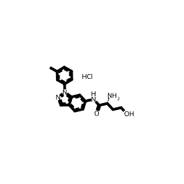 Cc1cccc(-n2ncc3ccc(NC(=O)[C@H](N)CCO)cc32)c1.Cl